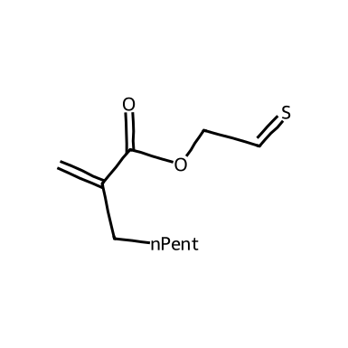 C=C(CCCCCC)C(=O)OCC=S